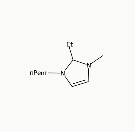 CCCCCN1C=CN(C)C1CC